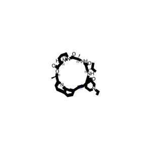 CCN1CCC2(/C=C/c3ccc4ccc(nc4c3)[C@@H](C)OC(=O)[C@@H]3CCCN(N3)C(=O)[C@H](C)NC(=O)[C@H](C(C)C)NC2=O)CC1